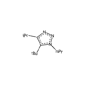 CCCn1nnc(C(C)C)c1C(C)(C)C